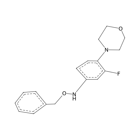 Fc1cc(NOCc2ccccc2)ccc1N1CCOCC1